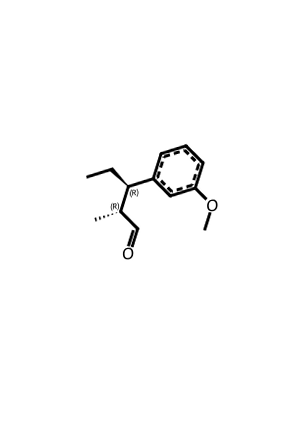 CC[C@@H](c1cccc(OC)c1)[C@@H](C)C=O